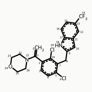 C=C(c1ccc(Cl)c(Cc2cc3cc(C(F)(F)F)ccc3[nH]2)c1Cl)N1CCOCC1